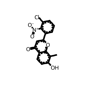 Cc1c(O)ccc2c(=O)cc(-c3cccc(Cl)c3[N+](=O)[O-])oc12